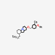 CCOC(=O)CC1CCCc2c1cc1cc(OCc3ccc(OC(C)C)c(C#N)c3)ccn21